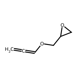 C=C=COCC1CO1